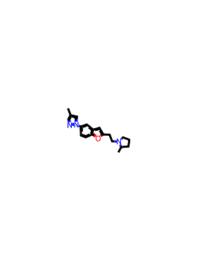 Cc1cnn(-c2ccc3oc(CCN4CCCC4C)cc3c2)c1